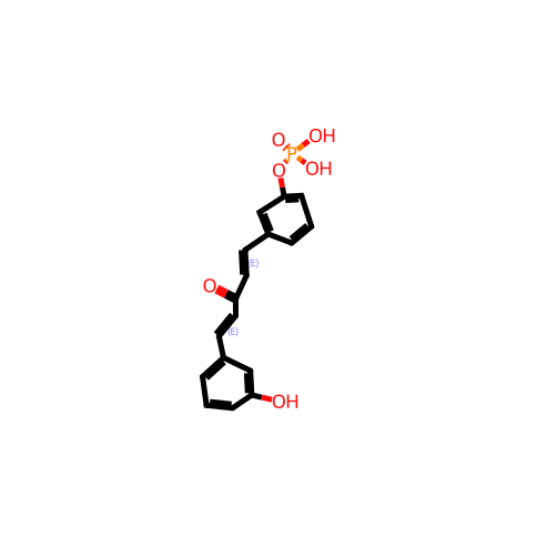 O=C(/C=C/c1cccc(O)c1)/C=C/c1cccc(OP(=O)(O)O)c1